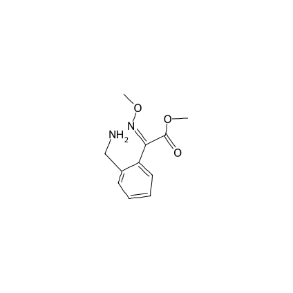 CON=C(C(=O)OC)c1ccccc1CN